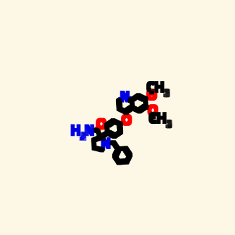 COc1cc2nccc(Oc3ccc([C@@]4(C(N)=O)CCCN4Cc4ccccc4)cc3)c2cc1OC